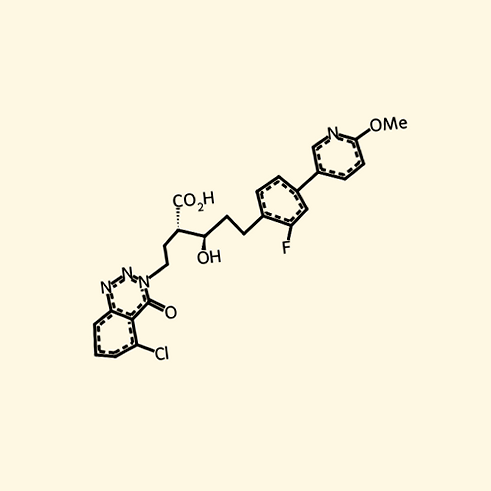 COc1ccc(-c2ccc(CC[C@@H](O)[C@H](CCn3nnc4cccc(Cl)c4c3=O)C(=O)O)c(F)c2)cn1